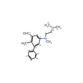 Cc1c(C=O)cc(N(C)CCN(C)C)cc1-c1ccccc1